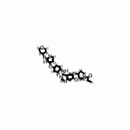 C=CC(=O)N1CCC(Nc2cc3c(Nc4ccc(Oc5ccnc(NC6CCOCC6)c5)cc4F)ncnc3cc2OC)CC1